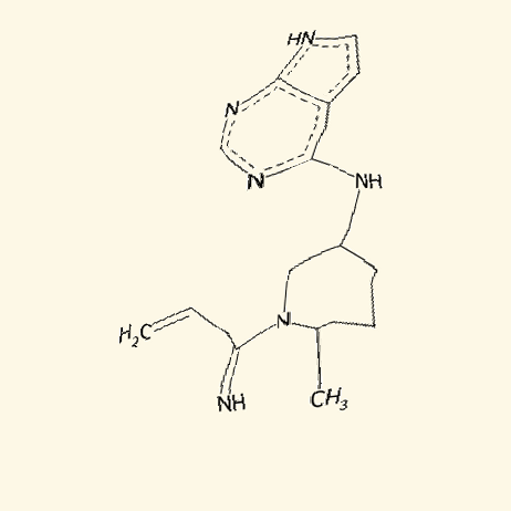 C=CC(=N)N1CC(Nc2ncnc3[nH]ccc23)CCC1C